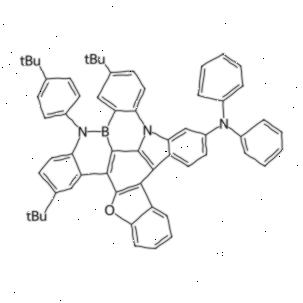 CC(C)(C)c1ccc(N2B3c4cc(C(C)(C)C)ccc4-n4c5cc(N(c6ccccc6)c6ccccc6)ccc5c5c6c(oc7ccccc76)c(c3c54)-c3cc(C(C)(C)C)ccc32)cc1